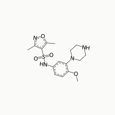 COc1ccc(NS(=O)(=O)c2c(C)noc2C)cc1N1CCNCC1